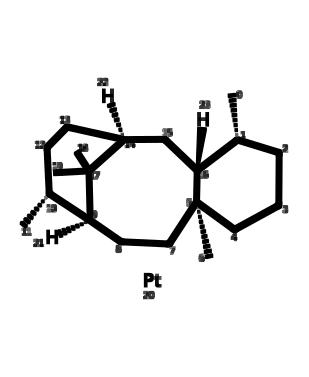 C[C@@H]1CCC[C@@]2(C)CC[C@H]3[C@H](C)CC[C@@H](C[C@H]12)C3(C)C.[Pt]